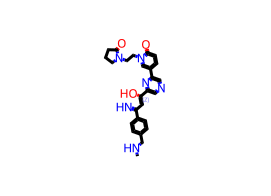 CNCc1ccc(C(=N)/C=C(\O)c2cncc(-c3ccc(=O)n(CCN4CCCC4=O)c3)n2)cc1